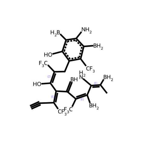 B=C(C(/C(O)=C(\Cc1c(O)c(B)c(N)c(B)c1C(F)(F)F)C(F)(F)F)=C(/C#C)C(F)(F)F)/C(=C(B)\C(N)=C(\B)C)C(F)(F)F